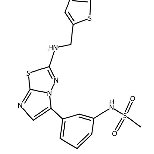 CS(=O)(=O)Nc1cccc(-c2cnc3sc(NCc4cccs4)nn23)c1